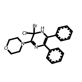 ClC1(Br)NC(c2ccccc2)=C(c2ccccc2)N=C1N1CCOCC1